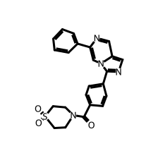 O=C(c1ccc(-c2ncc3cnc(-c4ccccc4)cn23)cc1)N1CCS(=O)(=O)CC1